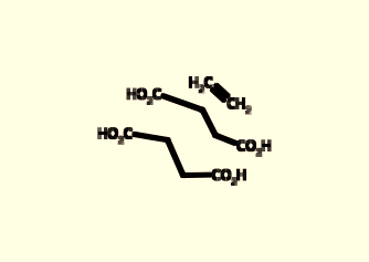 C=C.O=C(O)CCC(=O)O.O=C(O)CCC(=O)O